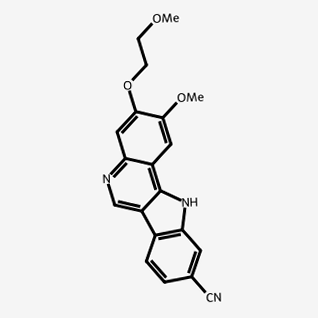 COCCOc1cc2ncc3c4ccc(C#N)cc4[nH]c3c2cc1OC